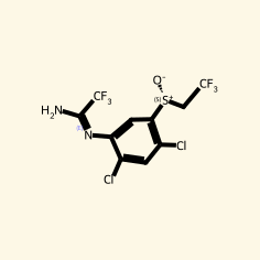 N/C(=N/c1cc([S@+]([O-])CC(F)(F)F)c(Cl)cc1Cl)C(F)(F)F